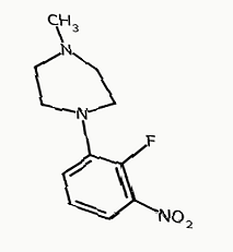 CN1CCN(c2cccc([N+](=O)[O-])c2F)CC1